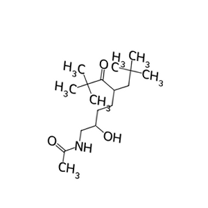 CC(=O)NCC(O)CCC(CC(C)(C)C)C(=O)C(C)(C)C